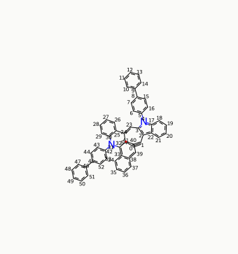 C1#Cc2c(n(-c3ccc(-c4ccccc4)cc3)c3ccccc23)C=C(c2ccccc2N(C2=c3ccccc3=CCC2)c2ccc(-c3ccccc3)cc2)C1